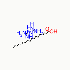 CCCCCCCCCCCCCCCCCC(=O)O.N=C(N)NNC(=N)N